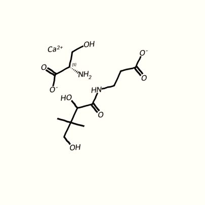 CC(C)(CO)C(O)C(=O)NCCC(=O)[O-].N[C@@H](CO)C(=O)[O-].[Ca+2]